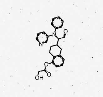 O=CC(C1CCc2c(cccc2OC(=O)CO)C1)N(c1ccccc1)c1cccnc1